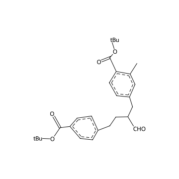 Cc1cc(CC(C=O)CCc2ccc(C(=O)OC(C)(C)C)cc2)ccc1C(=O)OC(C)(C)C